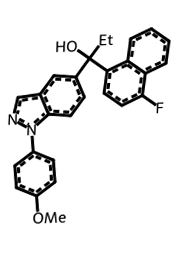 CCC(O)(c1ccc2c(cnn2-c2ccc(OC)cc2)c1)c1ccc(F)c2ccccc12